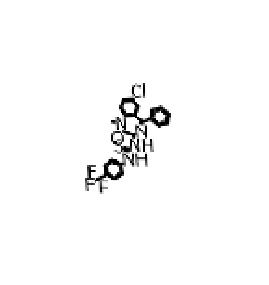 CN1C(=O)C(NC(=S)Nc2ccc(C(F)(F)F)cc2)N=C(c2ccccc2)c2cc(Cl)ccc21